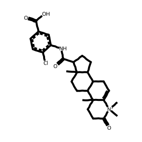 CC12CCC(=O)[N+](C)(C)C1=CCC1C2CCC2(C)C(C(=O)Nc3cc(C(=O)O)ccc3Cl)CCC12